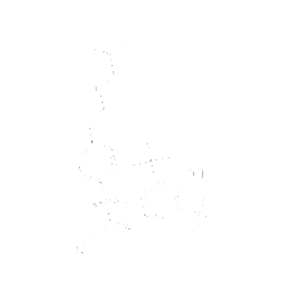 CC(C)CO/C=C/c1ccc(S(=O)(=O)/C(C#N)=C\c2cc(C(C)(C)C)c(O)c(C(C)(C)C)c2)cc1